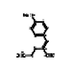 COc1ccc(C=C(C=O)CCC=O)cc1